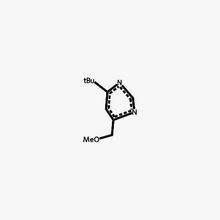 COCc1cc(C(C)(C)C)ncn1